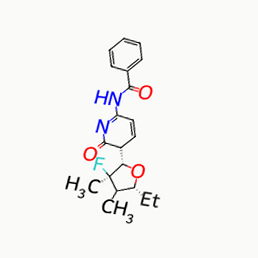 CC[C@H]1O[C@@H](C2C=CC(NC(=O)c3ccccc3)=NC2=O)[C@](C)(F)C1C